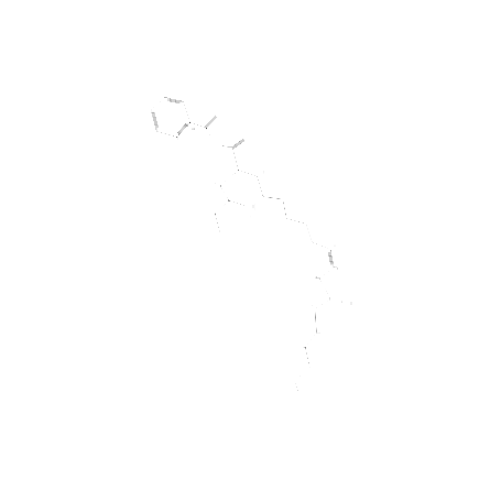 CCCCCC[C@@H](O)C/C=C\CCCCCCC(CC(O)CO)C(=O)OC(=O)c1ccccc1